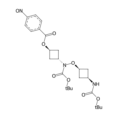 CC(C)(C)OC(=O)N[C@H]1C[C@@H](ON(C(=O)OC(C)(C)C)[C@H]2C[C@H](OC(=O)c3ccc(N=O)cc3)C2)C1